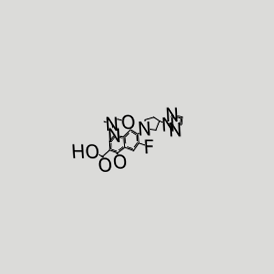 CN1COc2c(N3CCC(n4nccn4)C3)c(F)cc3c(=O)c(C(=O)O)cn1c23